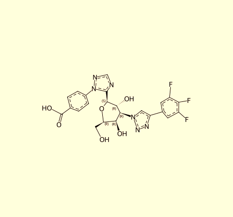 O=C(O)c1ccc(-n2ncnc2[C@@H]2O[C@H](CO)[C@H](O)[C@H](n3cc(-c4cc(F)c(F)c(F)c4)nn3)[C@H]2O)cc1